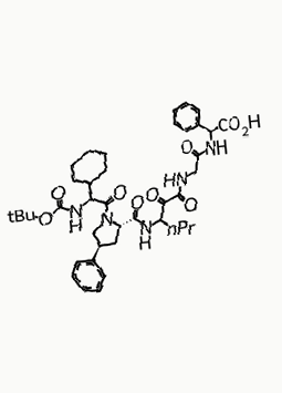 CCCC(NC(=O)[C@@H]1C[C@@H](c2ccccc2)CN1C(=O)[C@@H](NC(=O)OC(C)(C)C)C1CCCCC1)C(=O)C(=O)NCC(=O)N[C@H](C(=O)O)c1ccccc1